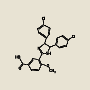 COc1ccc(C(=O)O)cc1C1=NC(c2ccc(Cl)cc2)C(c2ccc(Cl)cc2)N1